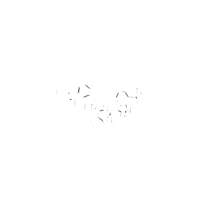 NC(=O)c1cccn2c(-c3nc4c(c(NCc5cccc(B(O)O)c5)n3)COCC4)nnc12